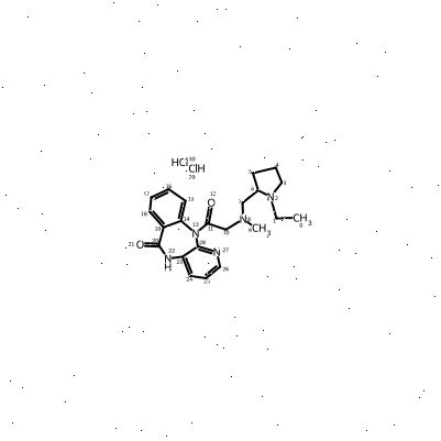 CCN1CCCC1CN(C)CC(=O)N1c2ccccc2C(=O)Nc2cccnc21.Cl.Cl